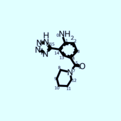 Nc1ccc(C(=O)N2CCCCC2)cc1-c1nnn[nH]1